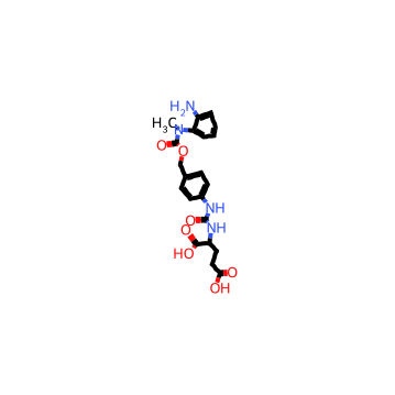 CN(C(=O)OCc1ccc(NC(=O)NC(CCC(=O)O)C(=O)O)cc1)c1ccccc1N